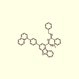 N/C(=N\C(=N/Cc1ccccc1)c1ccccc1)c1cc(-c2ccc(-c3cccc4ccccc34)cc2)cc2oc3ccccc3c12